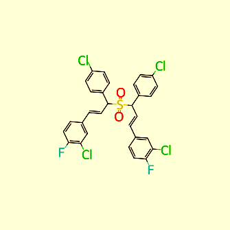 O=S(=O)(C(C=Cc1ccc(F)c(Cl)c1)c1ccc(Cl)cc1)C(C=Cc1ccc(F)c(Cl)c1)c1ccc(Cl)cc1